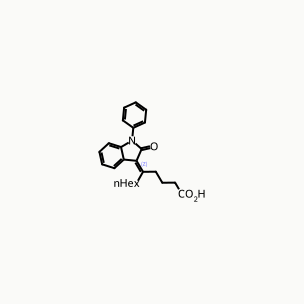 CCCCCC/C(CCCC(=O)O)=C1/C(=O)N(c2ccccc2)c2ccccc21